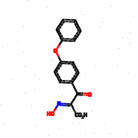 O=C(O)C(=NO)C(=O)c1ccc(Oc2ccccc2)cc1